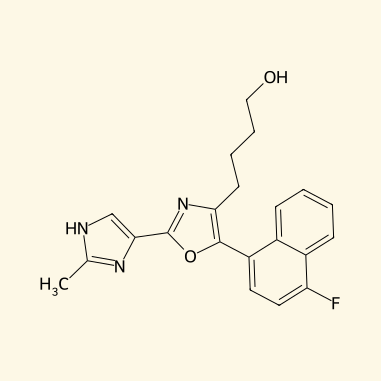 Cc1nc(-c2nc(CCCCO)c(-c3ccc(F)c4ccccc34)o2)c[nH]1